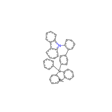 N#Cc1ccccc1[Si](c1ccccc1)(c1ccccc1)c1ccc(-c2ccccc2-n2c3ccccc3c3ccccc32)cc1